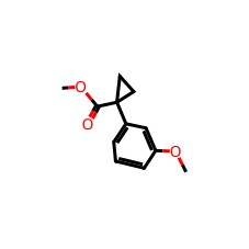 COC(=O)C1(c2cccc(OC)c2)CC1